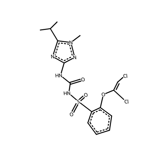 CC(C)c1nc(NC(=O)NS(=O)(=O)c2ccccc2OC(Cl)=CCl)nn1C